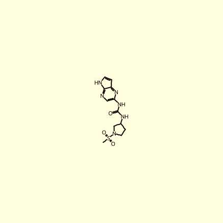 CS(=O)(=O)N1CCC(NC(=O)Nc2cnc3[nH]ccc3n2)C1